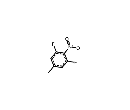 Cc1cc(F)c([N+](=O)[O-])c(F)c1